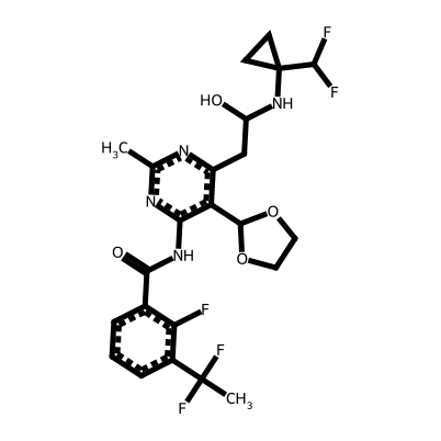 Cc1nc(CC(O)NC2(C(F)F)CC2)c(C2OCCO2)c(NC(=O)c2cccc(C(C)(F)F)c2F)n1